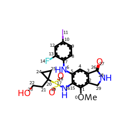 COc1c2c(cc(Nc3ccc(I)cc3F)c1NS(=O)(=O)C1(CCO)CC1)C(=O)NC2